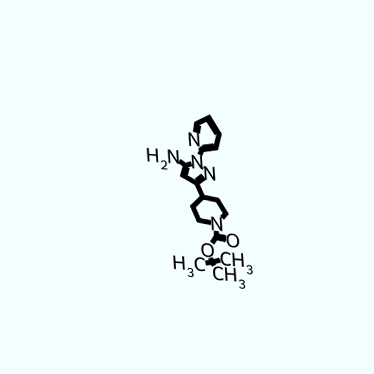 CC(C)(C)OC(=O)N1CCC(c2cc(N)n(-c3ccccn3)n2)CC1